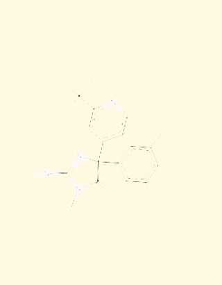 Cc1cc(F)cc(C2(c3ccnc(C(F)(F)F)c3)N=C(N)N(C)C2=O)c1